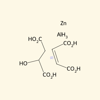 O=C(O)/C=C\C(=O)O.O=C(O)CC(O)C(=O)O.[AlH3].[Zn]